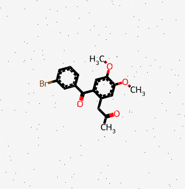 COc1cc(CC(C)=O)c(C(=O)c2cccc(Br)c2)cc1OC